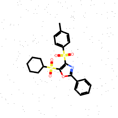 Cc1ccc(S(=O)(=O)c2nc(-c3ccccc3)oc2S(=O)(=O)C2CCCCC2)cc1